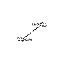 CO[Si](CCCCCCCCCC[Si](OC)(OC)OC)(OC)OC